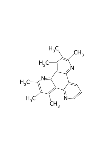 Cc1nc2c(c(C)c1C)c1ncccc1c1nc(C)c(C)c(C)c12